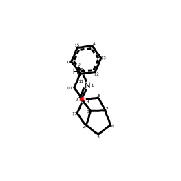 ON=CC1C2CCC1CN(Cc1ccccc1)C2